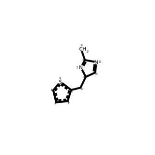 CC1=NC(Cc2cccs2)C=N1